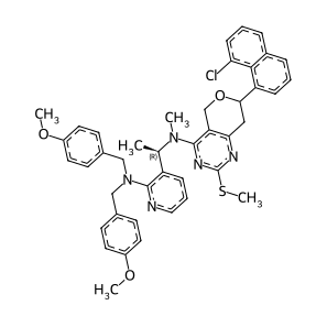 COc1ccc(CN(Cc2ccc(OC)cc2)c2ncccc2[C@@H](C)N(C)c2nc(SC)nc3c2COC(c2cccc4cccc(Cl)c24)C3)cc1